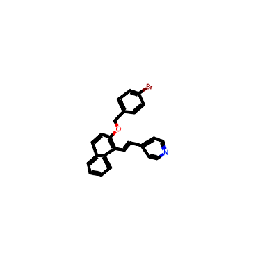 Brc1ccc(COc2ccc3ccccc3c2C=Cc2ccncc2)cc1